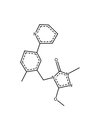 COc1nn(C)c(=O)n1Cc1cc(-c2ccccn2)ccc1C